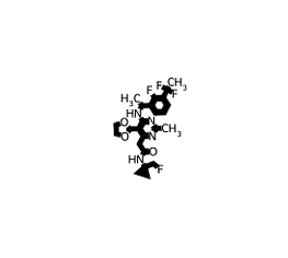 Cc1nc(CC(=O)NC2(CF)CC2)c(C2OCCO2)c(NC(C)c2cccc(C(C)(F)F)c2F)n1